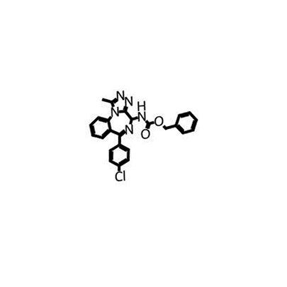 Cc1nnc2n1-c1ccccc1C(c1ccc(Cl)cc1)=NC2NC(=O)OCc1ccccc1